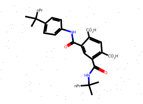 CCCC(C)(C)NC(=O)c1cc(C(=O)Nc2ccc(C(C)(C)CCC)cc2)c(C(=O)O)cc1C(=O)O